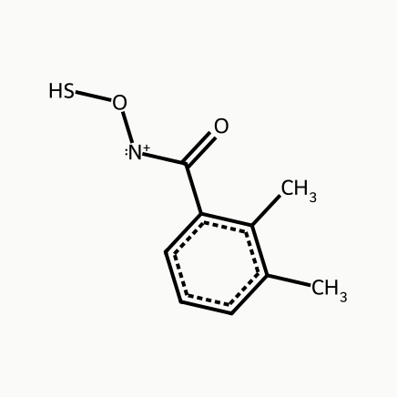 Cc1cccc(C(=O)[N+]OS)c1C